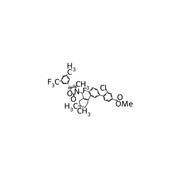 COC(=O)c1ccc(-c2ccc(F)c(C3=C(CN4C(=O)O[C@H](c5cc(C)cc(C(F)(F)F)c5)[C@@H]4C)CC(C)(C)CC3)c2)c(Cl)c1